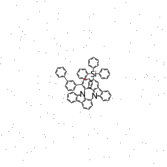 c1ccc(-c2cccc(-c3ccccc3-n3c4ccccc4c4cccc(-n5c6ccccc6c6cc([Si](c7ccccc7)(c7ccccc7)c7ccccc7)ccc65)c43)c2)cc1